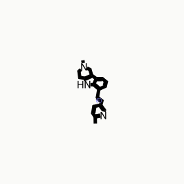 Cc1ccc(/C=C/c2cccc3c4c([nH]c23)CCN(C)C4)cn1